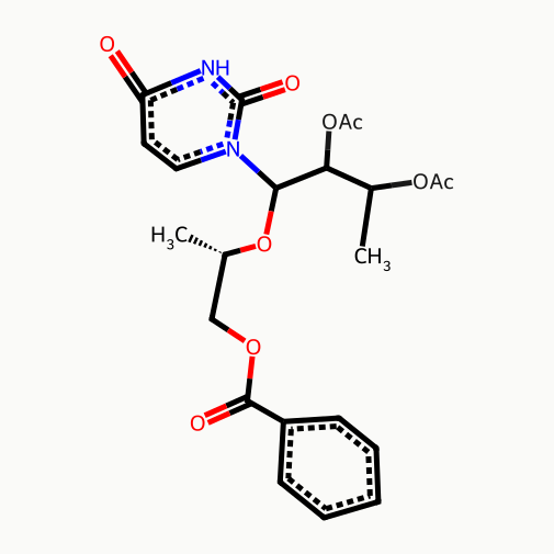 CC(=O)OC(C)C(OC(C)=O)C(O[C@@H](C)COC(=O)c1ccccc1)n1ccc(=O)[nH]c1=O